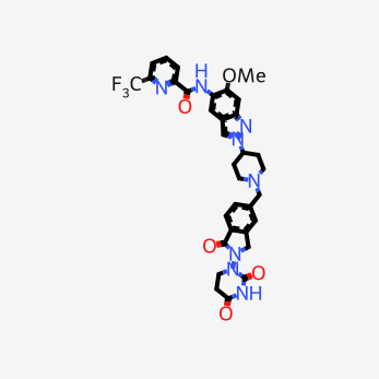 COc1cc2nn(C3CCN(Cc4ccc5c(c4)CN(N4CCC(=O)NC4=O)C5=O)CC3)cc2cc1NC(=O)c1cccc(C(F)(F)F)n1